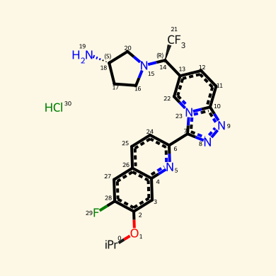 CC(C)Oc1cc2nc(-c3nnc4ccc([C@@H](N5CC[C@H](N)C5)C(F)(F)F)cn34)ccc2cc1F.Cl